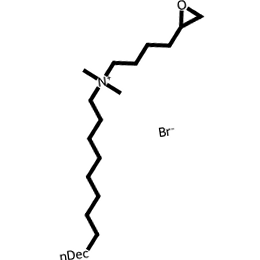 CCCCCCCCCCCCCCCCCC[N+](C)(C)CCCCC1CO1.[Br-]